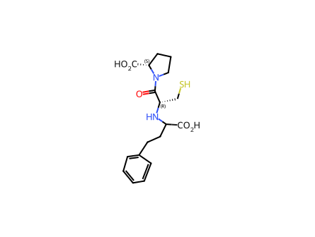 O=C(O)C(CCc1ccccc1)N[C@@H](CS)C(=O)N1CCC[C@H]1C(=O)O